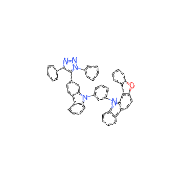 c1ccc(-c2nnn(-c3ccccc3)c2-c2ccc3c4ccccc4n(-c4cccc(-n5c6ccccc6c6ccc7oc8ccccc8c7c65)c4)c3c2)cc1